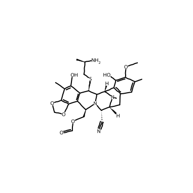 COc1c(C)cc2c(c1O)[C@H]1C3[C@H](SC[C@@H](C)N)c4c(O)c(C)c5c(c4[C@H](COC=O)N3[C@@H](C#N)[C@@H](C2)N1C)OCO5